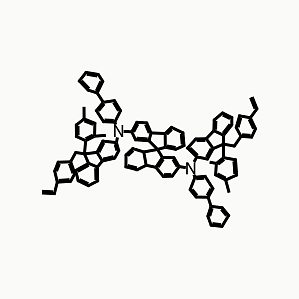 C=Cc1ccc(CC2(c3ccc(C)cc3C)c3ccccc3-c3ccc(N(c4ccc(-c5ccccc5)cc4)c4ccc5c(c4)C4(c6ccccc6-5)c5cc(N(c6ccc(-c7ccccc7)cc6)c6ccc7c(c6)C(Cc6ccc(C=C)cc6)(c6ccc(C)cc6C)c6ccccc6-7)ccc5C5C=CC=CC54)cc32)cc1